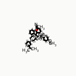 CCOc1ccccc1C1(N2CCN(c3ccnc(C(C)C)c3)CC2)C(=O)N(S(=O)(=O)c2ccc(OC)cn2)c2ccc(C#N)cc21